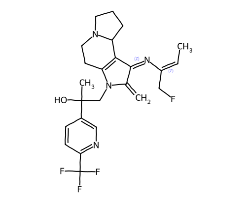 C=C1/C(=N\C(=C/C)CF)C2=C(CCN3CCCC23)N1CC(C)(O)c1ccc(C(F)(F)F)nc1